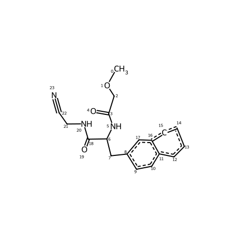 COCC(=O)NC(Cc1ccc2ccccc2c1)C(=O)NCC#N